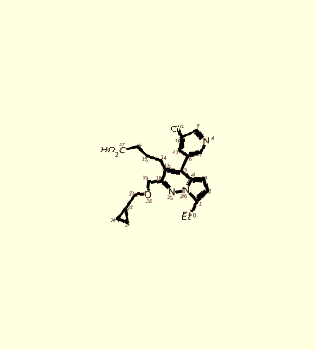 CCc1ccc2c(-c3cncc(Cl)c3)c(CCCC(=O)O)c(COCC3CC3)nn12